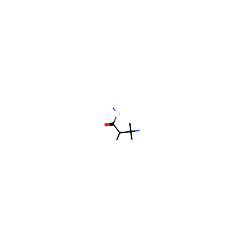 CNC(=O)C(C)C(C)(C)N